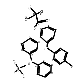 Cc1ccc([I+]c2ccccc2)cc1.F[B-](F)(F)F.O=C([O-])C(Cl)(Cl)Cl.c1ccc([I+]c2ccccc2)cc1